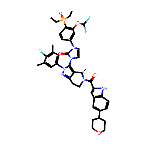 CCP(=O)(CC)c1ccc(-n2ccn(-c3c4c(nn3-c3cc(C)c(F)c(C)c3)CCN(C(=O)c3cc5cc(C6CCOCC6)ccc5[nH]3)[C@H]4C)c2=O)cc1OC(F)F